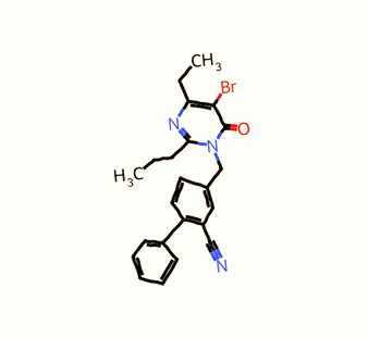 CCCc1nc(CC)c(Br)c(=O)n1Cc1ccc(-c2ccccc2)c(C#N)c1